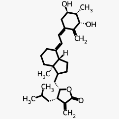 C=C1/C(=C\C=C2/CCC[C@]3(C)C(C[C@@H]4OC(=O)C(=C)[C@@H]4CC(C)C)CC[C@@H]23)C[C@@H](O)[C@H](C)[C@@H]1O